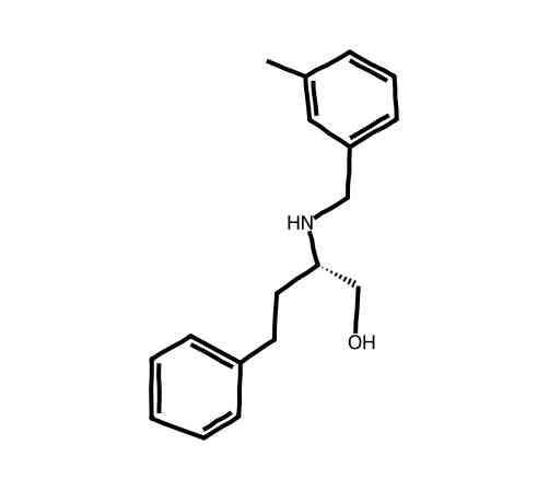 Cc1cccc(CN[C@H](CO)CCc2ccccc2)c1